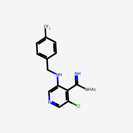 CC(=O)NC(=N)c1c(Cl)cncc1NCc1ccc(C(F)(F)F)cc1